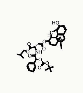 CC(C)COC(=O)[C@H](CC(=O)OC1=CC[C@@]2(O)C3Cc4ccc(O)c5c4[C@@]2(CCN3C)[C@H]1O5)NC(=O)[C@@H](OC(=O)OC(C)(C)C)c1ccccc1